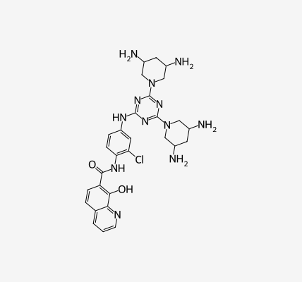 NC1CC(N)CN(c2nc(Nc3ccc(NC(=O)c4ccc5cccnc5c4O)c(Cl)c3)nc(N3CC(N)CC(N)C3)n2)C1